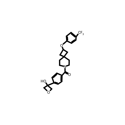 O=C(c1ccc(C2(O)COC2)cc1)N1CCC2(CC1)CC(Oc1ccc(C(F)(F)F)cc1)C2